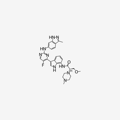 COC[C@H](C(=O)Nc1cccc2c(-c3nc(Nc4ccc5c(C)n[nH]c5c4)ncc3F)c[nH]c12)N1CCN(C)CC1